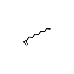 C=C[CH]CCCCCC1CO1